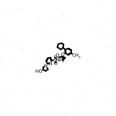 Cc1ccc(C2CCCCC2)c(OC2(C(=O)NS(=O)(=O)c3cccc(N4CC[C@H](O)C4)n3)CC2)c1